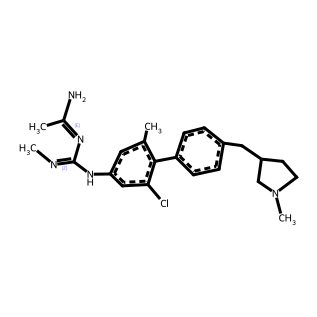 C/N=C(\N=C(/C)N)Nc1cc(C)c(-c2ccc(CC3CCN(C)C3)cc2)c(Cl)c1